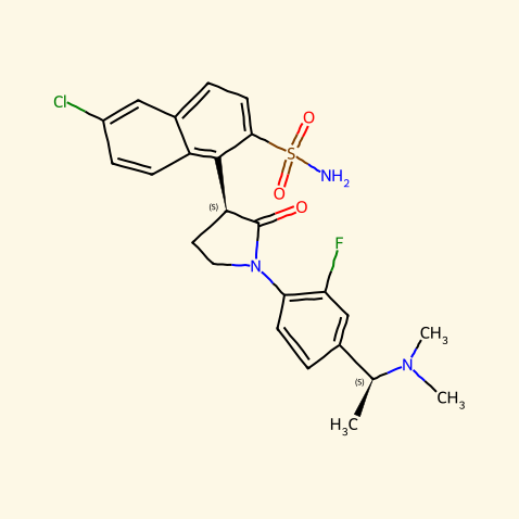 C[C@@H](c1ccc(N2CC[C@@H](c3c(S(N)(=O)=O)ccc4cc(Cl)ccc34)C2=O)c(F)c1)N(C)C